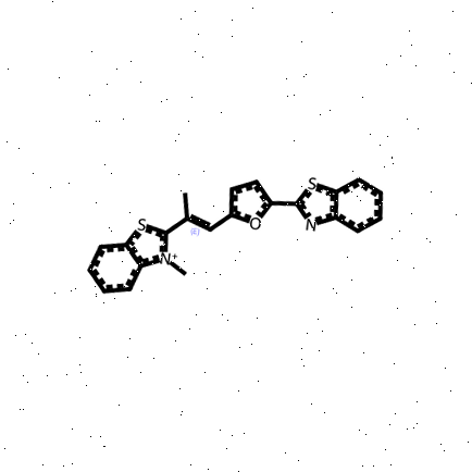 C/C(=C\c1ccc(-c2nc3ccccc3s2)o1)c1sc2ccccc2[n+]1C